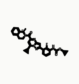 C[C@@H]1c2ccccc2CCN1C(=O)c1cc(C2CC2)n2nc(-c3cccc(NC(=O)OC4CC4)c3F)cc2n1